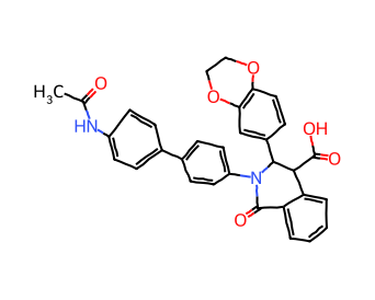 CC(=O)Nc1ccc(-c2ccc(N3C(=O)c4ccccc4C(C(=O)O)C3c3ccc4c(c3)OCCO4)cc2)cc1